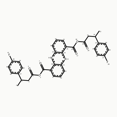 CC(CC(=O)OC(=O)c1cccc2nc3c(C(=O)OC(=O)CC(C)c4ccc(F)cc4)cccc3nc12)c1ccc(F)cc1